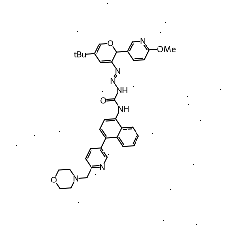 COc1ccc(C2OC=C(C(C)(C)C)C=C2N=NNC(=O)Nc2ccc(-c3ccc(CN4CCOCC4)nc3)c3ccccc23)cn1